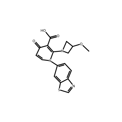 COC1CN(c2c(C(=O)O)c(=O)ccn2-c2ccc3ncsc3c2)C1